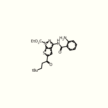 CCOC(=O)n1nc(NC(=O)c2ccccc2N)c2cc(C(=O)CCC(C)(C)C)sc21